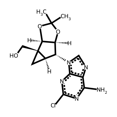 CC1(C)O[C@H]2[C@H](n3cnc4c(N)nc(Cl)nc43)[C@H]3C[C@]3(CO)[C@H]2O1